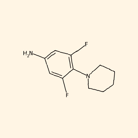 Nc1cc(F)c(N2CCCCC2)c(F)c1